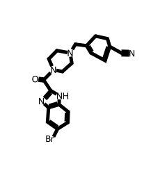 N#CC1=CC=C(CN2CCN(C(=O)c3nc4cc(Br)ccc4[nH]3)CC2)CC1